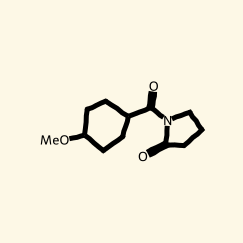 COC1CCC(C(=O)N2CCCC2=O)CC1